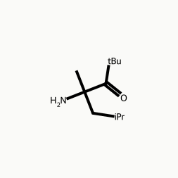 CC(C)CC(C)(N)C(=O)C(C)(C)C